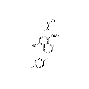 CCOOCc1cc(C#N)c2cc(Cc3ccc(F)cc3)cnc2c1OC